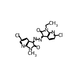 CCN1C(=O)/C(=N\N=C2/C(=O)N(C)c3ncc(Cl)cc32)c2ccc(Cl)nc21